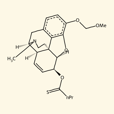 CCCC(=S)O[C@H]1C=C[C@H]2[C@H]3Cc4ccc(OCOC)c5c4[C@@]2(CCN3C)[C@H]1O5